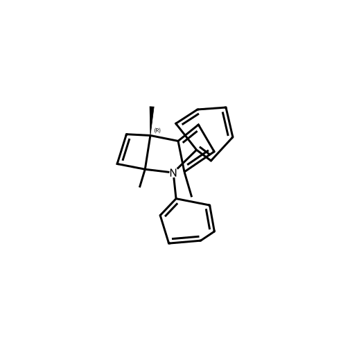 CC1=CC=C1[C@@]1(C)C=CC1(C)N(c1ccccc1)c1ccccc1